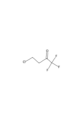 O=C(CCCl)C(F)(F)F